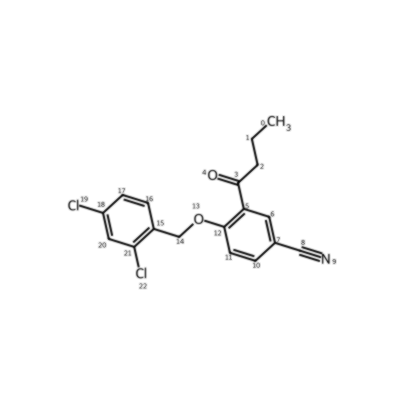 CCCC(=O)c1cc(C#N)ccc1OCc1ccc(Cl)cc1Cl